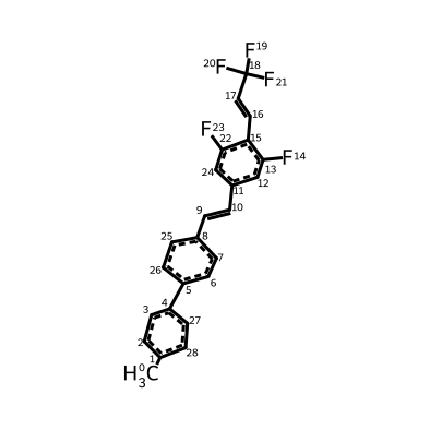 Cc1ccc(-c2ccc(/C=C/c3cc(F)c(/C=C/C(F)(F)F)c(F)c3)cc2)cc1